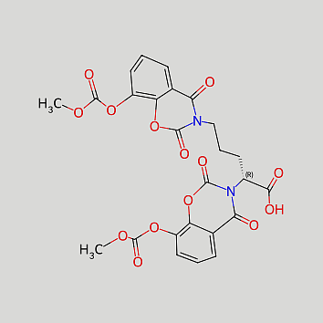 COC(=O)Oc1cccc2c(=O)n(CCC[C@H](C(=O)O)n3c(=O)oc4c(OC(=O)OC)cccc4c3=O)c(=O)oc12